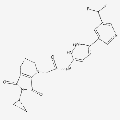 O=C(CN1CCCC2=C1C(=O)N(C1CC1)C2=O)NC1=CC=C(c2cncc(C(F)F)c2)NN1